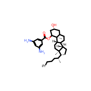 CC(C)CCC[C@@H](C)[C@H]1CC[C@H]2[C@@H]3CCC4C[C@@H](O)CC(OC(=O)c5cc(N)cc(N)c5)[C@]4(C)[C@H]3CC[C@]12C